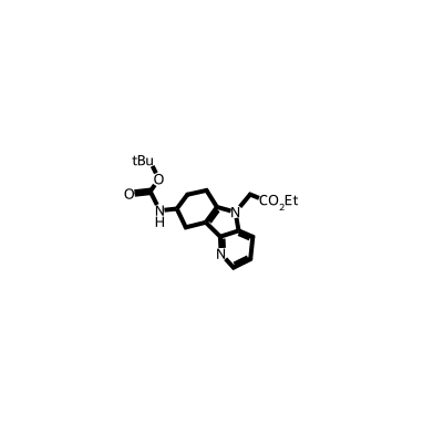 CCOC(=O)Cn1c2c(c3ncccc31)CC(NC(=O)OC(C)(C)C)CC2